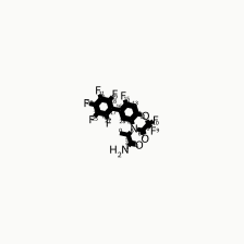 CC(C(N)=O)N1C(=O)C(F)(F)Oc2cc(F)c(-c3c(F)c(F)c(F)c(F)c3F)cc21